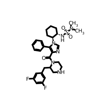 CN(C)S(=O)(=O)N[C@H]1CCCC[C@@H]1n1cnc(C(=O)N2CCNCC2Cc2cc(F)cc(F)c2)c1-c1ccccc1